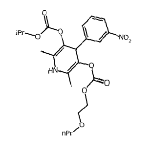 CCCOCCOC(=O)OC1=C(C)NC(C)=C(OC(=O)OC(C)C)C1c1cccc([N+](=O)[O-])c1